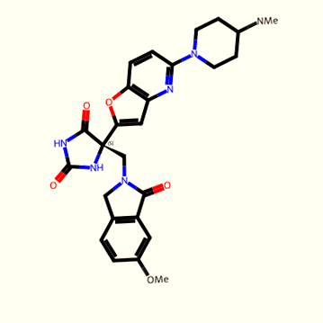 CNC1CCN(c2ccc3oc([C@]4(CN5Cc6ccc(OC)cc6C5=O)NC(=O)NC4=O)cc3n2)CC1